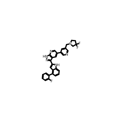 Fc1ccccc1-c1cccc2[nH]c(-c3n[nH]c4ncc(-c5cncc(CN6CCC(F)(F)C6)c5)cc34)cc12